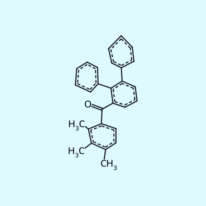 Cc1ccc(C(=O)c2cccc(-c3ccccc3)c2-c2ccccc2)c(C)c1C